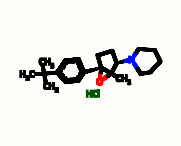 CC(C)(C)c1ccc([C@@]23CC[C@@H](N4CCCCC4)[C@]2(C)O3)cc1.Cl